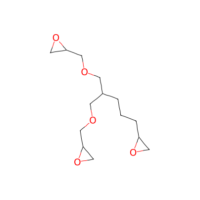 C(CC(COCC1CO1)COCC1CO1)CC1CO1